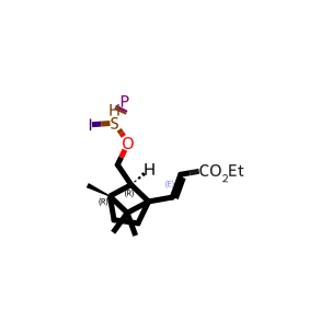 CCOC(=O)/C=C/C12CC[C@](C)([C@H]1CO[SH](#P)I)C2(C)C